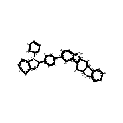 C1=CCC(N2c3ccccc3NC2c2ccc(-c3ccc4oc5c(c4c3)CC3Oc4ccccc4C3=C5)cc2)C=C1